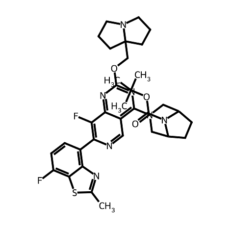 Cc1nc2c(-c3ncc4c(N5CC6CCC(C5)N6C(=O)OC(C)(C)C)nc(OCC56CCCN5CCC6)nc4c3F)ccc(F)c2s1